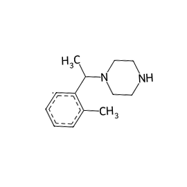 Cc1ccc[c]c1C(C)N1CCNCC1